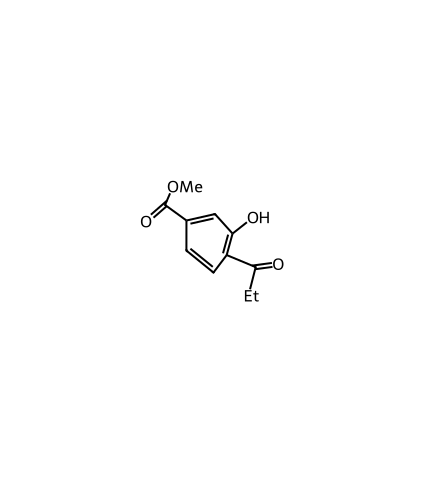 CCC(=O)c1ccc(C(=O)OC)cc1O